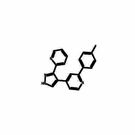 Cc1ccc(-c2cc(-c3c[nH]nc3-c3ccccn3)ccn2)cc1